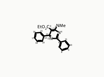 CCOC(=O)c1c(NC)nc(-c2ccccc2)nc1-c1ccccc1